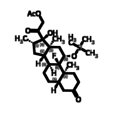 CC(=O)OCC(=O)[C@@]1(O)[C@@H](C)C[C@H]2[C@@H]3CC[C@H]4CC(=O)CC[C@]4(C)[C@@]3(F)[C@@H](O[Si](C)(C)C)C[C@@]21C